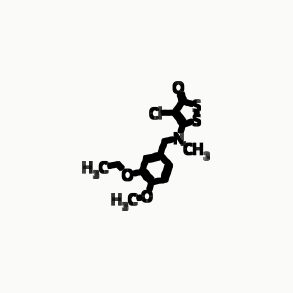 CCOc1cc(CN(C)c2ssc(=O)c2Cl)ccc1OC